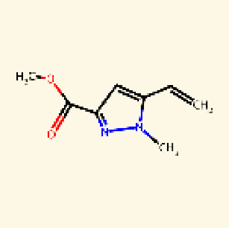 C=Cc1cc(C(=O)OC)nn1C